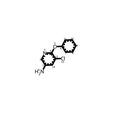 Nc1cnc(Oc2ccccc2)c(Cl)c1